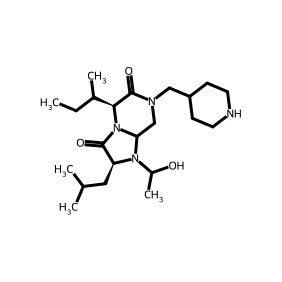 CCC(C)[C@H]1C(=O)N(CC2CCNCC2)CC2N1C(=O)[C@H](CC(C)C)N2C(C)O